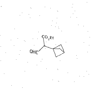 CCOC(=O)C(C=O)C12CC(C1)C2